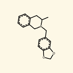 CC1Cc2ccccc2CN1Cc1ccc2c(c1)OCO2